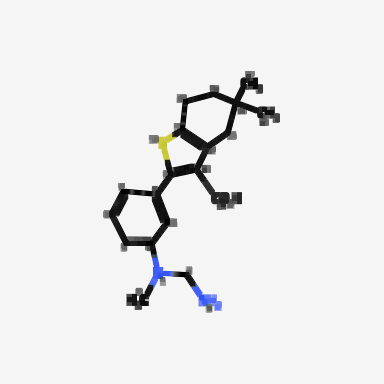 CN(CN)c1cccc(-c2sc3c(c2C(=O)O)CC(C)(C)CC3)c1